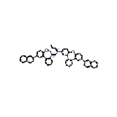 C=C/C=C(\C=C1/COc2ccc(-c3ccc4ccccc4c3)cc2-c2ccccc21)c1ccc2c(c1)-c1ccccc1-c1cc(-c3ccc4ccccc4c3)ccc1O2